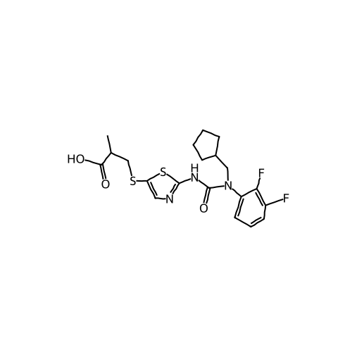 CC(CSc1cnc(NC(=O)N(CC2CCCC2)c2cccc(F)c2F)s1)C(=O)O